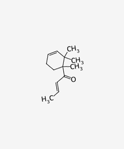 CC=CC(=O)C1(C)CCC=CC1(C)C